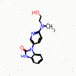 CN(CCO)c1ccc(-n2c(=O)[nH]c3ccccc32)cn1